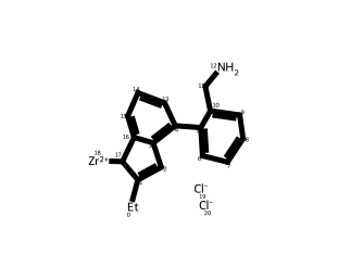 CCC1=Cc2c(-c3ccccc3CN)cccc2[CH]1[Zr+2].[Cl-].[Cl-]